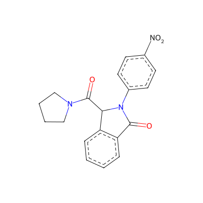 O=C(C1c2ccccc2C(=O)N1c1ccc([N+](=O)[O-])cc1)N1CCCC1